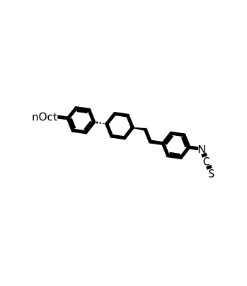 CCCCCCCCc1ccc([C@H]2CC[C@H](CCc3ccc(N=C=S)cc3)CC2)cc1